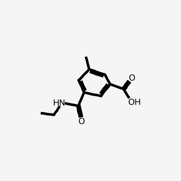 CCNC(=O)c1cc(C)cc(C(=O)O)c1